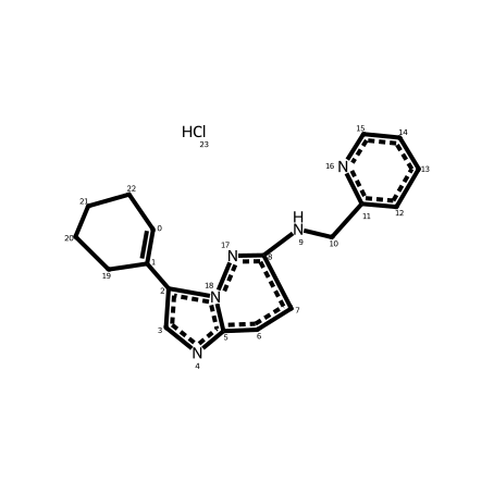 C1=C(c2cnc3ccc(NCc4ccccn4)nn23)CCCC1.Cl